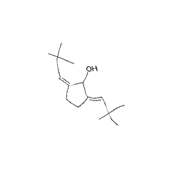 CC(C)(C)C=C1CCC(=CC(C)(C)C)C1O